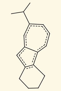 CC(C)c1cccc2c3c(cc-2c1)CCCC3